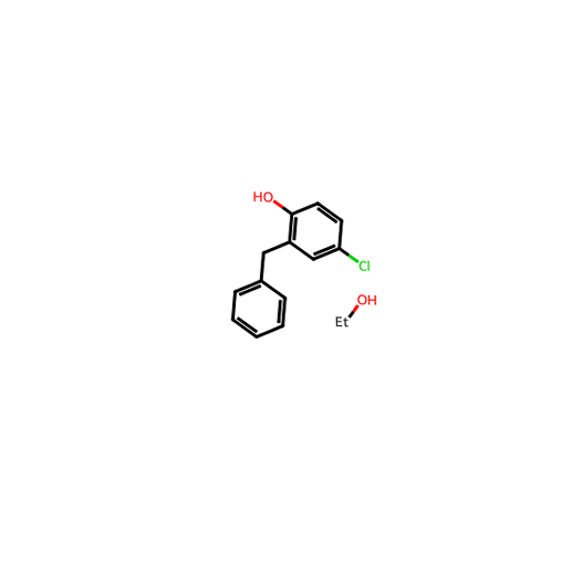 CCO.Oc1ccc(Cl)cc1Cc1ccccc1